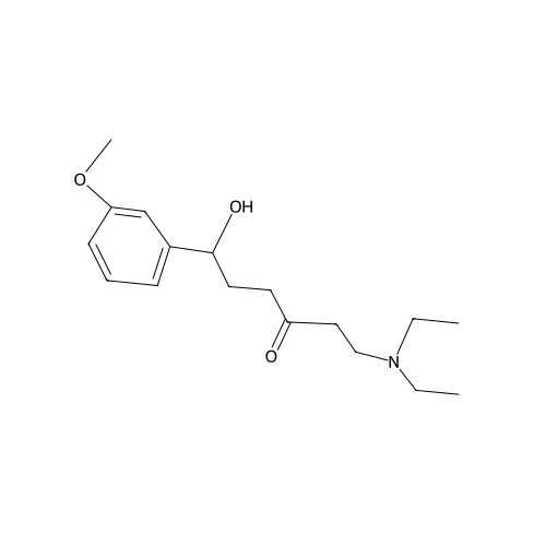 CCN(CC)CCC(=O)CCC(O)c1cccc(OC)c1